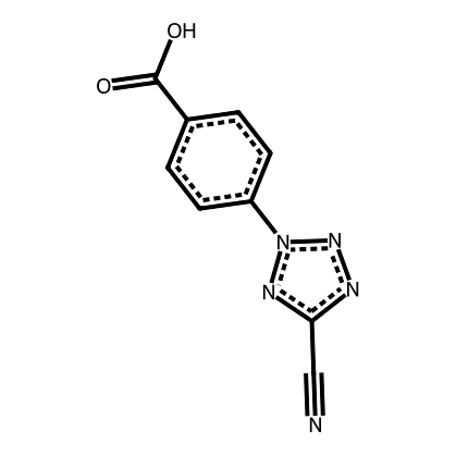 N#Cc1nnn(-c2ccc(C(=O)O)cc2)n1